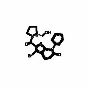 O=C(c1sc2c(ccc(=O)n2-c2ccccc2)c1Br)N1CCC[C@@H]1CO